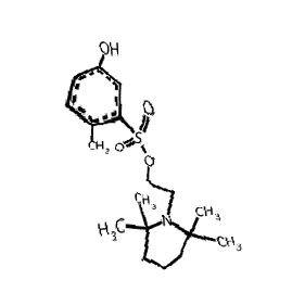 Cc1ccc(O)cc1S(=O)(=O)OCCN1C(C)(C)CCCC1(C)C